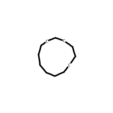 [CH]1CC[CH]CCCCCCCC1